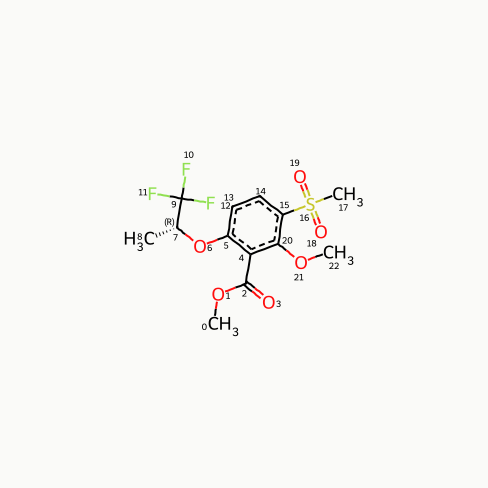 COC(=O)c1c(O[C@H](C)C(F)(F)F)ccc(S(C)(=O)=O)c1OC